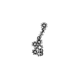 C1=C(OC2CCCCO2)CCC(c2ccc(OCCCCCSCc3ccccc3)cc2)C(c2ccccc2)C1Cc1ccccc1